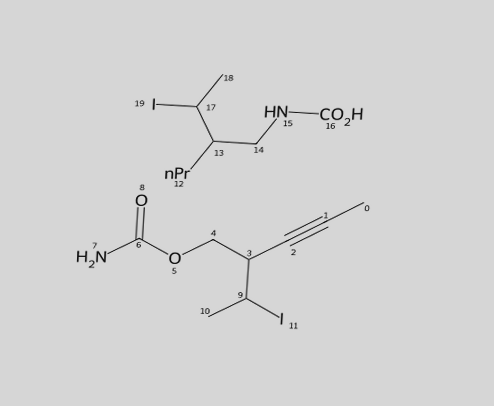 CC#CC(COC(N)=O)C(C)I.CCCC(CNC(=O)O)C(C)I